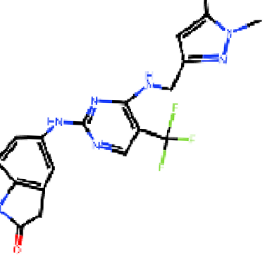 Cc1cc(CNc2nc(Nc3ccc4c(c3)CC(=O)N4)ncc2C(F)(F)F)nn1C